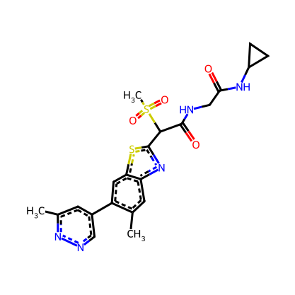 Cc1cc(-c2cc3sc(C(C(=O)NCC(=O)NC4CC4)S(C)(=O)=O)nc3cc2C)cnn1